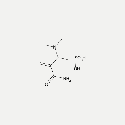 C=C(C(N)=O)C(C)N(C)C.O=S(=O)(O)O